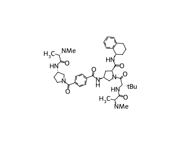 CN[C@@H](C)C(=O)N[C@H]1CCN(C(=O)c2ccc(C(=O)N[C@H]3C[C@@H](C(=O)N[C@@H]4CCCc5ccccc54)N(C(=O)[C@@H](NC(=O)[C@H](C)NC)C(C)(C)C)C3)cc2)C1